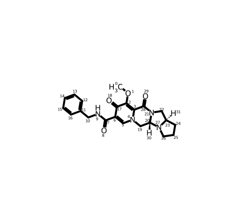 COc1c2n(cc(C(=O)NCc3ccccc3)c1=O)C[C@@H]1N(C[C@H]3CCCN31)C2=O